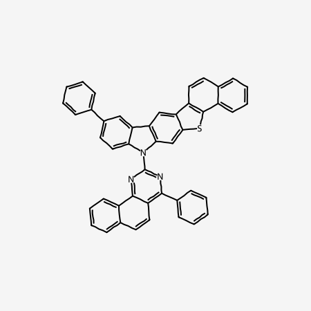 c1ccc(-c2ccc3c(c2)c2cc4c(cc2n3-c2nc(-c3ccccc3)c3ccc5ccccc5c3n2)sc2c3ccccc3ccc42)cc1